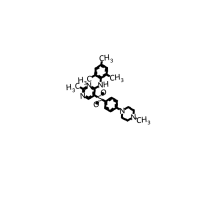 Cc1cc(C)c(Nc2nc(C)ncc2S(=O)(=O)c2ccc(N3CCN(C)CC3)cc2)c(C)c1